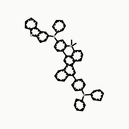 C[Si]1(C)c2cc(N(c3ccccc3)c3ccc4oc5ccccc5c4c3)ccc2-c2cc3c4ccccc4c(-c4ccc(N(c5ccccc5)c5ccccc5)cc4)cc3c3cccc1c23